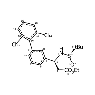 CCOC(=O)C[C@H](N[S@+]([O-])C(C)(C)C)c1cccc(-c2c(Cl)cccc2Cl)c1